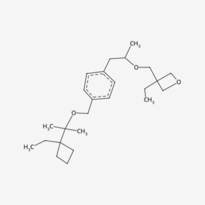 CCC1(COC(C)Cc2ccc(COC(C)(C)C3(CC)CCC3)cc2)COC1